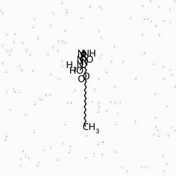 CCCCCCCCCCCCCCCCCC(=O)OCCC(CO)Cn1c(N)nc2nc[nH]c2c1=O